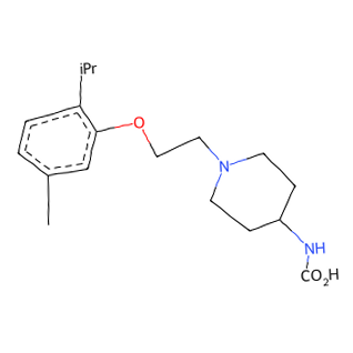 Cc1ccc(C(C)C)c(OCCN2CCC(NC(=O)O)CC2)c1